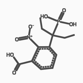 CCC(CC)(c1cccc(C(=O)O)c1[N+](=O)[O-])P(=O)(O)O